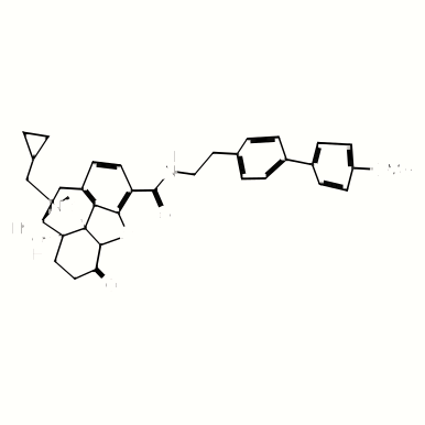 COc1ccc(-c2ccc(CCNC(=O)c3ccc4c5c3OC3C(=O)CC[C@@]6(O)[C@@H](C4)N(CC4CC4)CC[C@]536)cc2)cc1